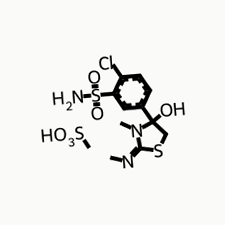 CN=C1SCC(O)(c2ccc(Cl)c(S(N)(=O)=O)c2)N1C.CS(=O)(=O)O